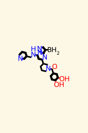 Bc1cnn2c(NCc3cccnc3)cc(C3CCCN(C(=O)c4ccc(O)c(O)c4)C3)nc12